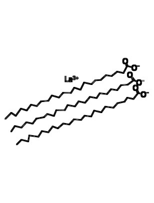 CCCCCCCCCCCCCCCCCCCCCCCC(=O)[O-].CCCCCCCCCCCCCCCCCCCCCCCC(=O)[O-].CCCCCCCCCCCCCCCCCCCCCCCC(=O)[O-].[La+3]